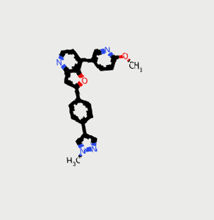 COc1ccc(-c2ccnc3cc(-c4ccc(-c5cnn(C)c5)cc4)oc23)cn1